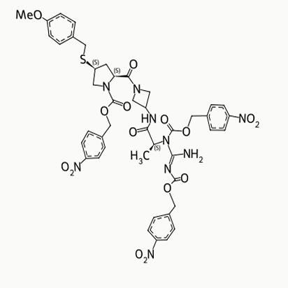 COc1ccc(CS[C@H]2C[C@@H](C(=O)N3CC(NC(=O)[C@H](C)N(C(=O)OCc4ccc([N+](=O)[O-])cc4)C(N)=NC(=O)OCc4ccc([N+](=O)[O-])cc4)C3)N(C(=O)OCc3ccc([N+](=O)[O-])cc3)C2)cc1